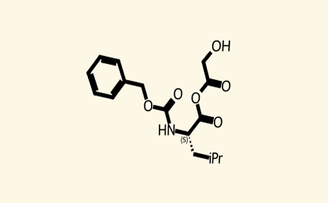 CC(C)C[C@H](NC(=O)OCc1ccccc1)C(=O)OC(=O)CO